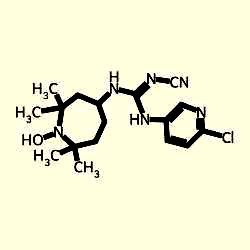 CC1(C)CCC(NC(=NC#N)Nc2ccc(Cl)nc2)CC(C)(C)N1O